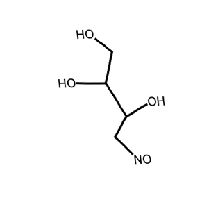 O=NCC(O)C(O)CO